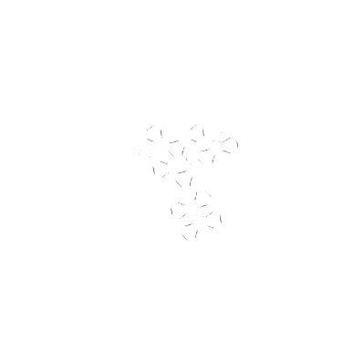 CC1(c2ccccc2)c2ccccc2-c2ccc(N(c3cccc(-c4cccc5c4-c4ccccc4C54c5ccccc5-c5ccccc54)c3)c3ccc4c(c3)C(C)(c3ccccc3)c3ccccc3-4)cc21